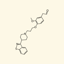 COc1cc(CC=O)ccc1OCCCN1CCC(c2nsc3ccccc23)CC1